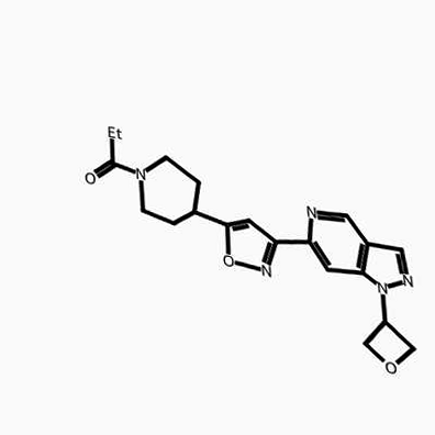 CCC(=O)N1CCC(c2cc(-c3cc4c(cn3)cnn4C3COC3)no2)CC1